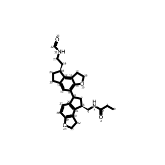 CCC(=O)NC[C@@H]1CC(c2cc3c(c4c2OCC4)[C@H](CCNC=O)CC3)c2ccc3c(c21)CCO3